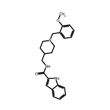 COc1ccccc1CN1CCC(CNC(=O)c2cc3ccccc3[nH]2)CC1